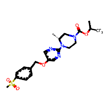 CC(OC(=O)N1CCN(c2ncc(OCc3ccc(S(C)(=O)=O)cc3)cn2)[C@H](C)C1)C(F)(F)F